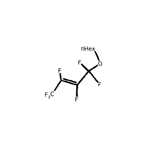 CCCCCCOC(F)(F)C(F)=C(F)C(F)(F)F